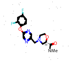 CNC(=O)[C@@H]1CN(Cc2cnc(Oc3ccc(F)cc3F)cn2)CCO1